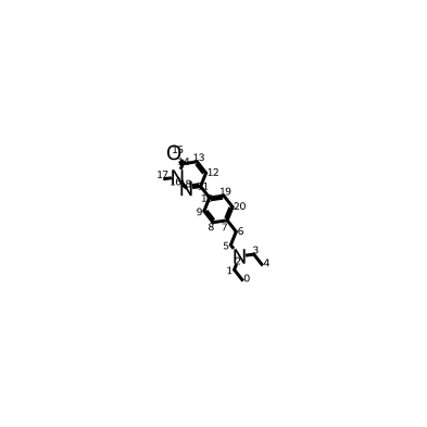 CCN(CC)CCc1ccc(-c2ccc(=O)n(C)n2)cc1